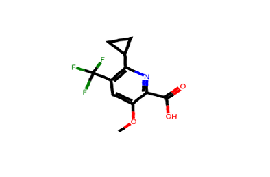 COc1cc(C(F)(F)F)c(C2CC2)nc1C(=O)O